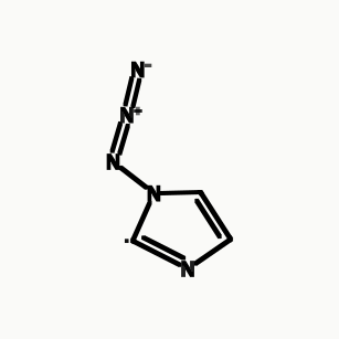 [N-]=[N+]=Nn1[c]ncc1